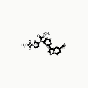 Cn1c(=O)n([C@@H]2CCN(S(C)(=O)=O)C2)c2nc(-c3cnn4ccc(C#N)cc34)ncc21